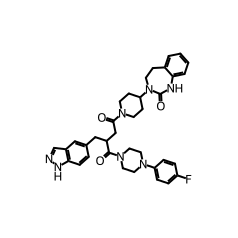 O=C(CC(Cc1ccc2[nH]ncc2c1)C(=O)N1CCN(c2ccc(F)cc2)CC1)N1CCC(N2CCc3ccccc3NC2=O)CC1